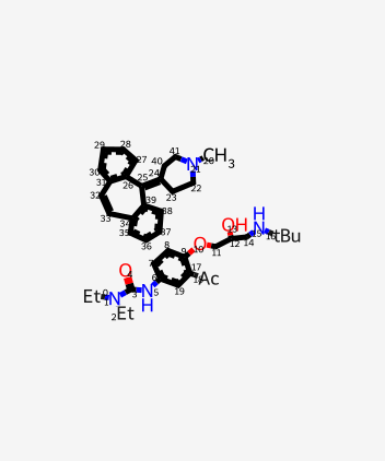 CCN(CC)C(=O)Nc1ccc(OCC(O)CNC(C)(C)C)c(C(C)=O)c1.CN1CCC(=C2c3ccccc3C=Cc3ccccc32)CC1